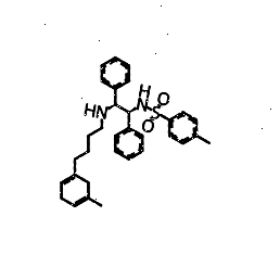 CC1=CCC=C(CCCCN[C@@H](c2ccccc2)[C@@H](NS(=O)(=O)c2ccc(C)cc2)c2ccccc2)C1